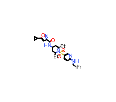 CCC1CC(NC(=O)c2cc(C3CC3)on2)C[C@@H](CC)N1S(=O)(=O)c1ccc(NCC(C)C)nc1